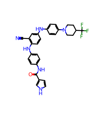 N#Cc1cc(Nc2ccc(N3CCC(C(F)(F)F)CC3)cc2)ccc1Nc1ccc(NC(=O)c2cc[nH]c2)cc1